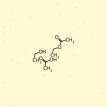 CC(=O)O.CCO.CCOC(C)=O